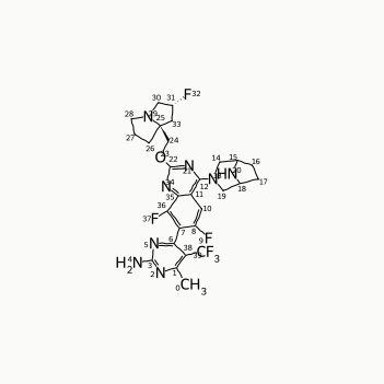 Cc1nc(N)nc(-c2c(F)cc3c(N4CC5CCC(C4)N5)nc(OC[C@@]45CCCN4C[C@H](F)C5)nc3c2F)c1C(F)(F)F